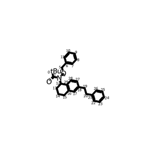 CC(C)(C)C(=O)N(OCc1ccccc1)C1CCCc2cc(CCc3ccccc3)ccc21